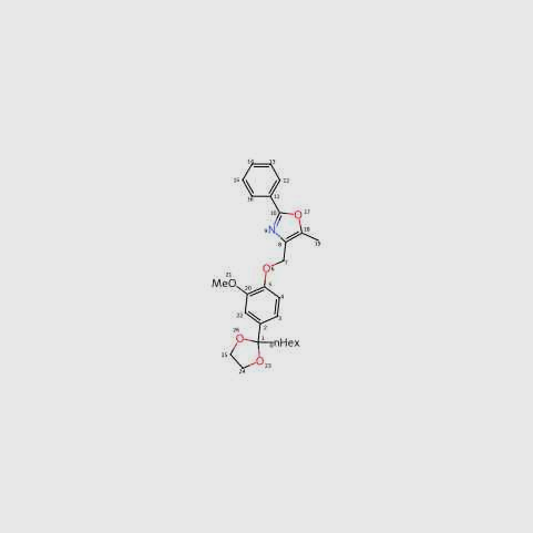 CCCCCCC1(c2ccc(OCc3nc(-c4ccccc4)oc3C)c(OC)c2)OCCO1